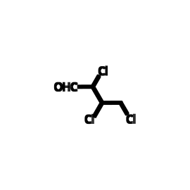 O=CC(Cl)C(Cl)CCl